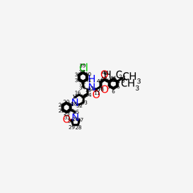 CC(C)(C)c1ccc2oc(C(=O)N[C@@H](C=C3CCN(c4ccccc4CN4CCCC4=O)CC3)Cc3ccc(Cl)cc3)cc(=O)c2c1